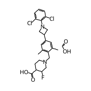 Cc1cc(C2CN(c3c(Cl)cccc3Cl)C2)cc(C)c1CN1CCC(C(=O)O)C(F)C1.O=CO